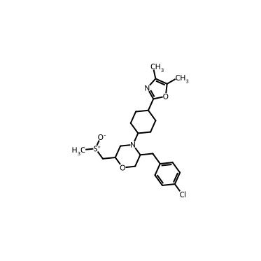 Cc1nc(C2CCC(N3CC(C[S+](C)[O-])OCC3Cc3ccc(Cl)cc3)CC2)oc1C